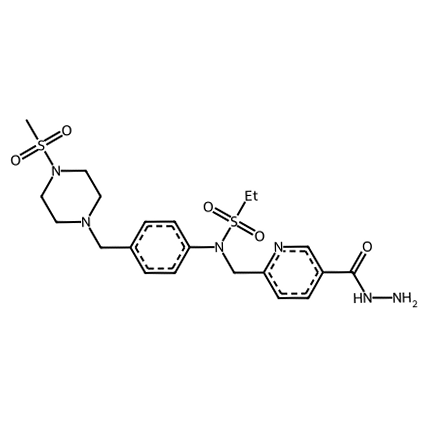 CCS(=O)(=O)N(Cc1ccc(C(=O)NN)cn1)c1ccc(CN2CCN(S(C)(=O)=O)CC2)cc1